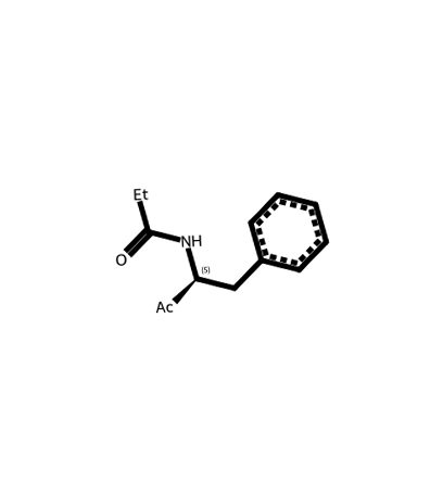 CCC(=O)N[C@@H](Cc1ccccc1)C(C)=O